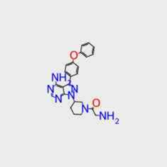 NCC(=O)N1CCCC(n2nc(-c3ccc(Oc4ccccc4)cc3)c3c(N)ncnc32)C1